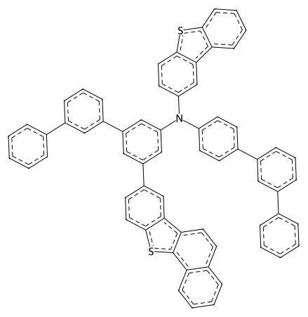 c1ccc(-c2cccc(-c3ccc(N(c4cc(-c5cccc(-c6ccccc6)c5)cc(-c5ccc6sc7c8ccccc8ccc7c6c5)c4)c4ccc5sc6ccccc6c5c4)cc3)c2)cc1